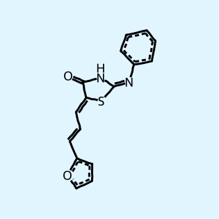 O=C1N/C(=N\c2ccccc2)S/C1=C\C=C\c1ccco1